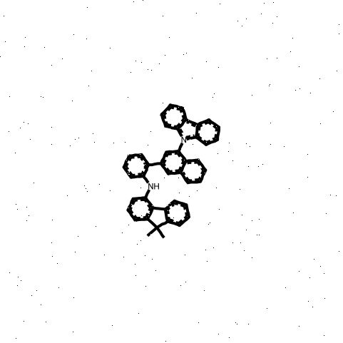 CC1(C)c2ccccc2-c2c(Nc3ccccc3-c3cc(-n4c5ccccc5c5ccccc54)c4ccccc4c3)cccc21